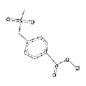 CS(=O)(=O)Cc1ccc(C(=O)OCl)cc1